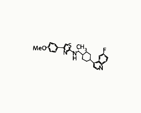 COc1ccc(-c2csc(N[C@H](C)C3CCC(c4ccnc5ccc(F)cc45)CC3)n2)cc1